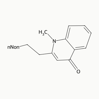 CCCCCCCCCCCc1cc(=O)c2ccccc2n1C